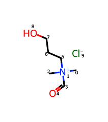 C[N+](C)(C=O)CCCO.[Cl-]